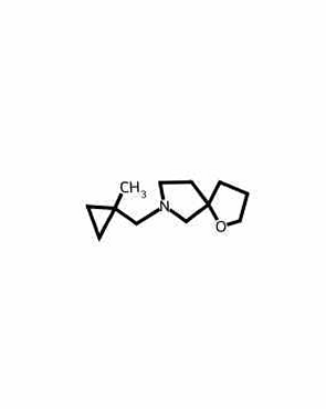 CC1(CN2CCC3(CCCO3)C2)CC1